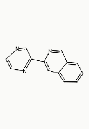 c1ccc2cc(-c3cnccn3)ncc2c1